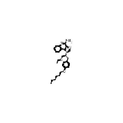 CCCCCCOc1ccc(C[C@@H](COCC)n2cnc3c(N)nc4ccccc4c32)cc1